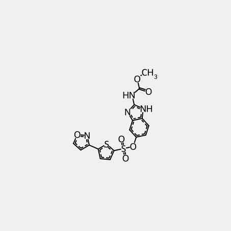 COC(=O)Nc1nc2cc(OS(=O)(=O)c3ccc(-c4ccon4)s3)ccc2[nH]1